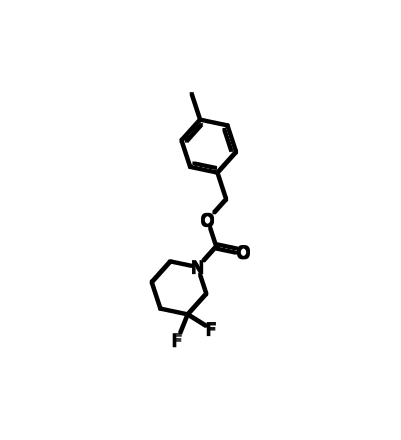 Cc1ccc(COC(=O)N2CCCC(F)(F)C2)cc1